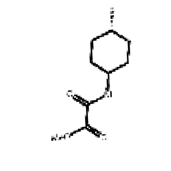 COC(=O)C(=O)N[C@H]1CC[C@H](C)CC1